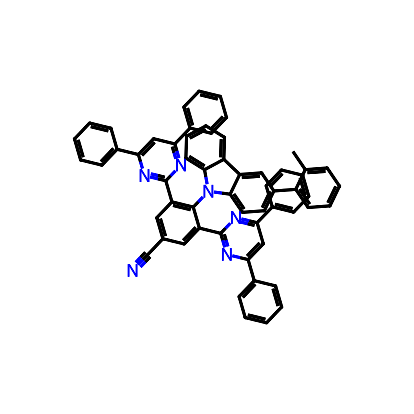 Cc1ccccc1-c1ccc2c(c1)c1ccccc1n2-c1c(-c2nc(-c3ccccc3)cc(-c3ccccc3)n2)cc(C#N)cc1-c1nc(-c2ccccc2)cc(-c2ccccc2)n1